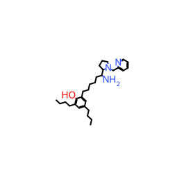 CCCCc1cc(CCCC)c(O)c(CCCCCC(N)C2CCCN2Cc2ccccn2)c1